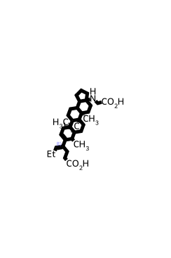 CC/C=C(\CCC(=O)O)C1=CCC2(C)C(CCC3(C)C2CCC2C4CCCC4(NCC(=O)O)CC[C@]23C)C1C